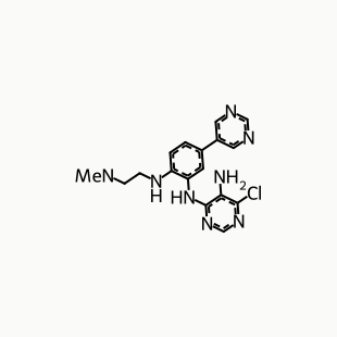 CNCCNc1ccc(-c2cncnc2)cc1Nc1ncnc(Cl)c1N